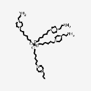 CCCN1CCN(CCCCCCOC(OCCCCCCN2CCN(CCN)CC2)(OCCCCCCN2CCN(CCN)CC2)OCCCCCCN2CCN(CCN)CC2)CC1